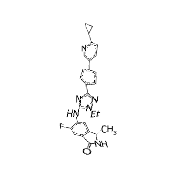 CCn1nc(-c2ccc(-c3ccc(C4CC4)nc3)cc2)nc1Nc1cc2c(cc1F)C(=O)N[C@H]2C